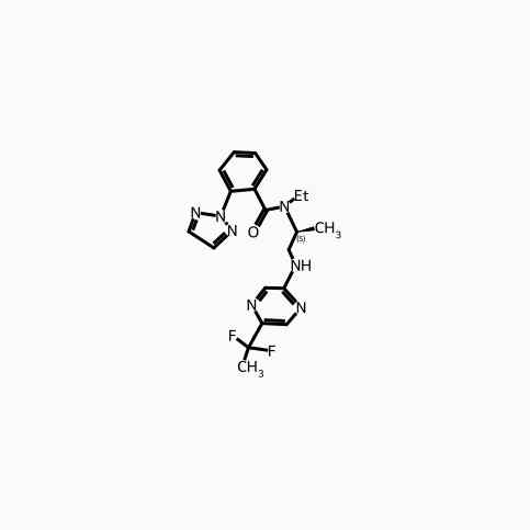 CCN(C(=O)c1ccccc1-n1nccn1)[C@@H](C)CNc1cnc(C(C)(F)F)cn1